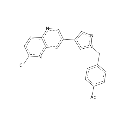 CC(=O)c1ccc(Cn2cc(-c3cnc4ccc(Cl)nc4c3)cn2)cc1